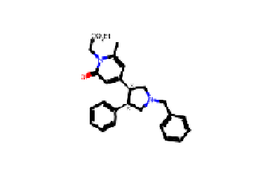 CCOC(=O)Cn1c(C)cc([C@H]2CN(Cc3ccccc3)C[C@H]2c2ccccc2)cc1=O